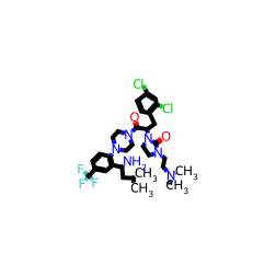 CC(C)CC(N)c1cc(C(F)(F)F)ccc1N1CCN(C(=O)C(Cc2ccc(Cl)cc2Cl)N2CCN(CCN(C)C)C2=O)CC1